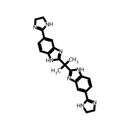 CC(C)(c1nc2cc(C3=NCCN3)ccc2[nH]1)c1nc2cc(C3=NCCN3)ccc2[nH]1